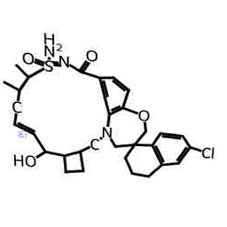 CC1C/C=C/C(O)C2CCC2CN2CC3(CCCc4cc(Cl)ccc43)COc3ccc(cc32)C(=O)N=S(N)(=O)C1C